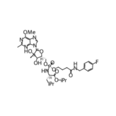 COc1nc(C)nc2c1ncn2[C@@H]1O[C@H](COP(=O)(N[C@@H](CC(C)C)C(=O)OC(C)C)OCCCC(=O)NCc2ccc(F)cc2)C(O)[C@]1(C)O